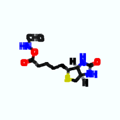 O=CNOC(=O)CCCC[C@@H]1SC[C@@H]2NC(=O)N[C@@H]21